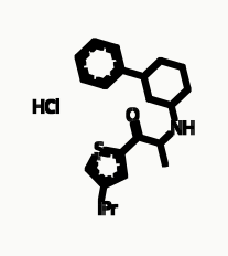 CC(NC1CCCC(c2ccccc2)C1)C(=O)c1cc(C(C)C)cs1.Cl